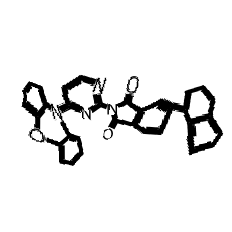 O=C1c2ccc(-c3cccc4ccccc34)cc2C(=O)N1c1nccc(N2c3ccccc3Oc3ccccc32)n1